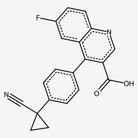 N#CC1(c2ccc(-c3c(C(=O)O)cnc4ccc(F)cc34)cc2)CC1